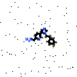 NCc1ccc(-c2cncn2CCc2ccc(F)cc2)cn1